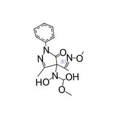 CO/N=C(\C)C1(N(O)C(O)OC)C(=O)N(c2ccccc2)N=C1C